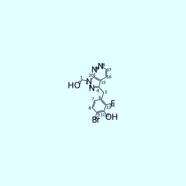 OCn1nc(Cc2ccc(Br)c(O)c2F)c2ccnnc21